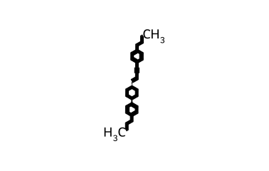 CCCCc1ccc(C#CC=C[C@H]2CC[C@H](c3ccc(CCCC)cc3)CC2)cc1